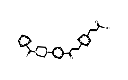 O=C(O)/C=C/c1ccc(/C=C/C(=O)c2ccc(N3CCN(C(=O)c4ccccc4)CC3)cc2)cc1